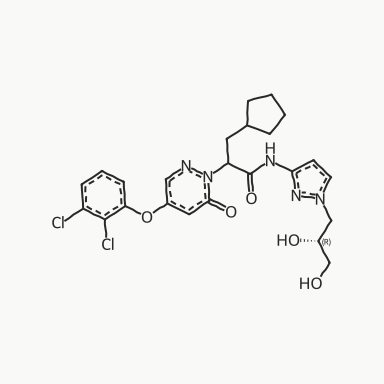 O=C(Nc1ccn(C[C@@H](O)CO)n1)C(CC1CCCC1)n1ncc(Oc2cccc(Cl)c2Cl)cc1=O